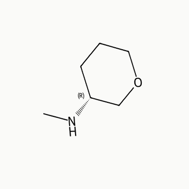 CN[C@@H]1CCCOC1